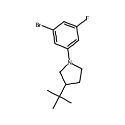 CC(C)(C)C1CCN(c2cc(F)cc(Br)c2)C1